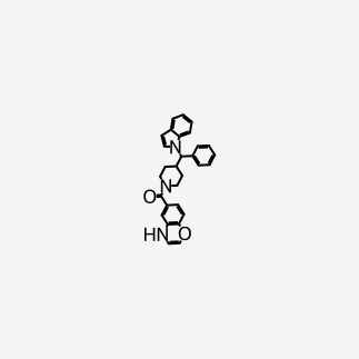 O=C(c1ccc2c(c1)NC=CO2)N1CCC(C(c2ccccc2)n2ccc3ccccc32)CC1